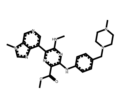 CNc1nc(Nc2ccc(CN3CCN(C)CC3)cc2)c(C(=O)OC)nc1-c1cncc2c1ncn2C